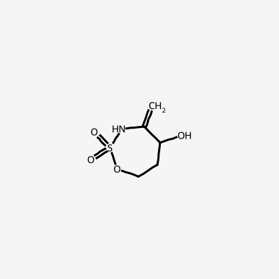 C=C1NS(=O)(=O)OCCC1O